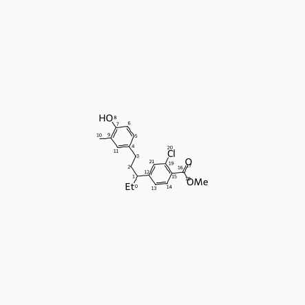 CCC(CCc1ccc(O)c(C)c1)c1ccc(C(=O)OC)c(Cl)c1